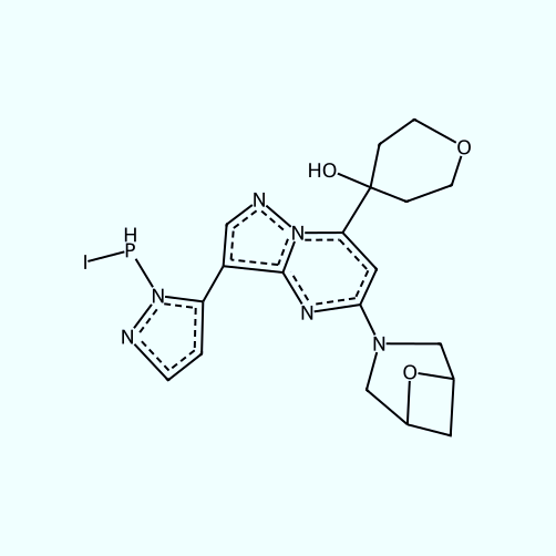 OC1(c2cc(N3CC4CC(C3)O4)nc3c(-c4ccnn4PI)cnn23)CCOCC1